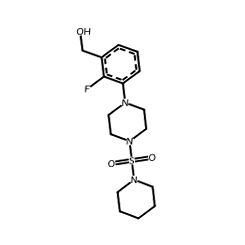 O=S(=O)(N1CCCCC1)N1CCN(c2cccc(CO)c2F)CC1